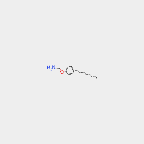 CCCCCCCCc1ccc(OCCN)cc1